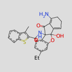 CCc1ccc2c(c1)OC1(O)C3=CCCC(N)=C3C(=O)C21NC(=O)c1sc2ccccc2c1C